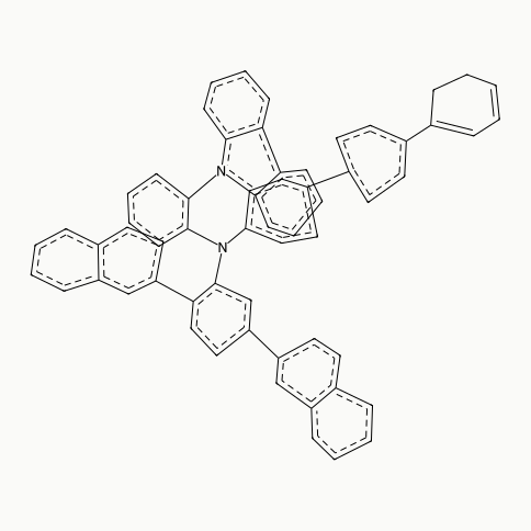 C1=CCCC(c2ccc(-c3ccc(N(c4cc(-c5ccc6ccccc6c5)ccc4-c4ccc5ccccc5c4)c4ccccc4-n4c5ccccc5c5ccccc54)cc3)cc2)=C1